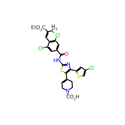 CCOC(=O)C(C)=Cc1c(Cl)cc(C(=O)Nc2nc(-c3cc(Cl)cs3)c(C3=CCN(C(=O)O)CC3)s2)cc1Cl